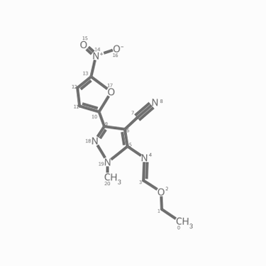 CCO/C=N/c1c(C#N)c(-c2ccc([N+](=O)[O-])o2)nn1C